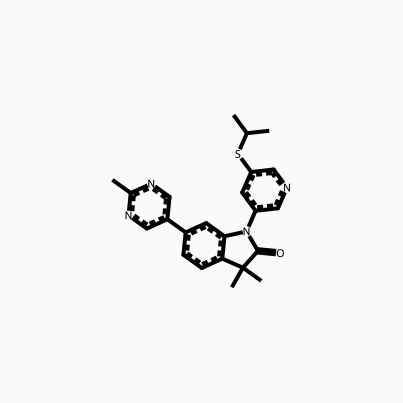 Cc1ncc(-c2ccc3c(c2)N(c2cncc(SC(C)C)c2)C(=O)C3(C)C)cn1